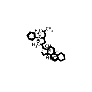 C[C@H](CC(CC(C(F)(F)F)C(F)(F)F)S(=O)(=O)c1ccccc1)[C@H]1CC[C@H]2C3=CC=C4CCCC[C@]4(C)[C@H]3CC[C@]12C